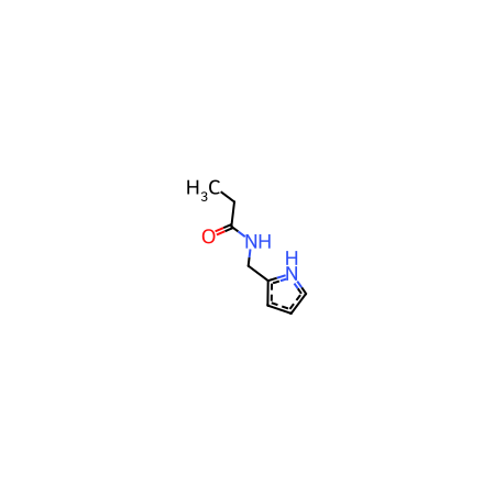 CCC(=O)NCc1ccc[nH]1